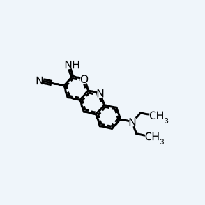 CCN(CC)c1ccc2cc3cc(C#N)c(=N)oc3nc2c1